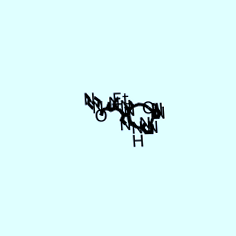 CCn1cc(C(=O)N2CCN(C)CC2)cc1-c1nn2c3cc(ncc13)Nc1ccnc(n1)-c1cnn(C)c1OCCC2C